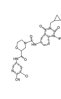 CC(C)n1c(=O)n(CC2CC2)c(=O)c2cc(NC(=O)N3CCOC(C(=O)Nc4cnc(C#N)c(Cl)c4)C3)ccc21